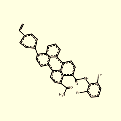 C=Cc1ccc(-c2ccc3c4ccc(C(N)=O)c5c(C(=O)Nc6c(C(C)C)cccc6C(C)C)ccc(c6cccc2c36)c54)cc1